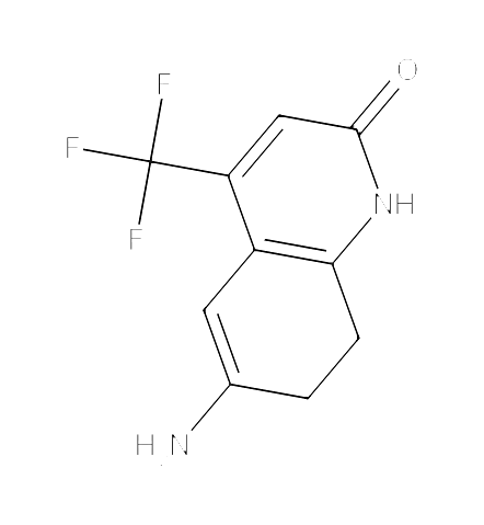 NC1=Cc2c(C(F)(F)F)cc(=O)[nH]c2CC1